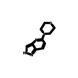 c1cc2n[nH]cc2nc1N1CCOCC1